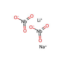 [Li+].[Na+].[O]=[Nb](=[O])[O-].[O]=[Nb](=[O])[O-]